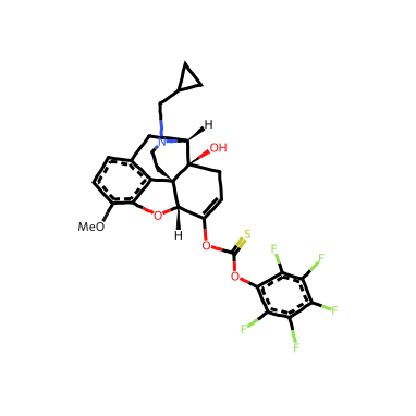 COc1ccc2c3c1O[C@H]1C(OC(=S)Oc4c(F)c(F)c(F)c(F)c4F)=CC[C@@]4(O)[C@@H](C2)N(CC2CC2)CC[C@]314